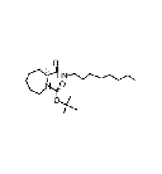 CCCCCCCCNC(=O)[C@@H]1CCCCCN1C(=O)OC(C)(C)C